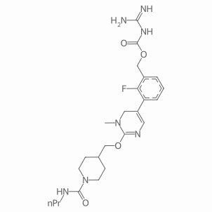 CCCNC(=O)N1CCC(COC2=NC=C(c3cccc(COC(=O)NC(=N)N)c3F)CN2C)CC1